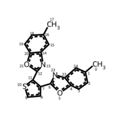 Cc1ccc2oc(-c3ccsc3-c3nc4cc(C)ccc4o3)nc2c1